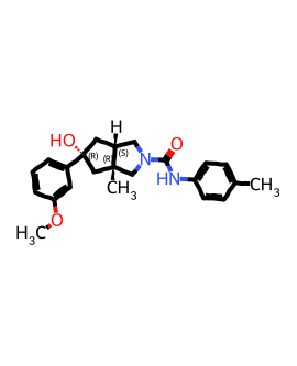 COc1cccc([C@@]2(O)C[C@@H]3CN(C(=O)Nc4ccc(C)cc4)C[C@]3(C)C2)c1